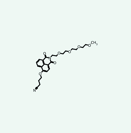 COCCOCCOCCOCCN1C(=O)c2cccc3c(OCCCC#N)ccc(c23)C1=O